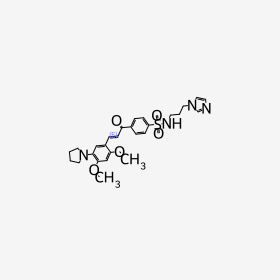 COc1cc(OC)c(N2CCCC2)cc1/C=C/C(=O)c1ccc(S(=O)(=O)NCCCn2ccnc2)cc1